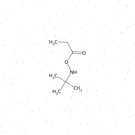 CCC(=O)ONC(C)(C)C